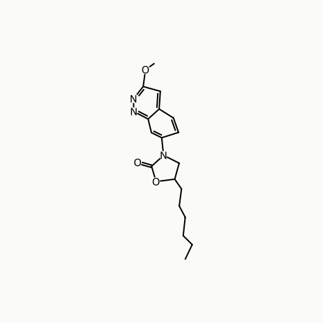 CCCCCCC1CN(c2ccc3cc(OC)nnc3c2)C(=O)O1